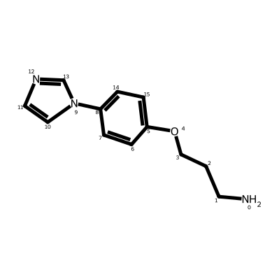 NCCCOc1ccc(-n2ccnc2)cc1